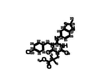 COC(=O)C(C)(C)Cn1c(=O)[nH]/c(=N\c2ccc3nc(C)sc3c2)n(Cc2ccc(Cl)cc2)c1=O